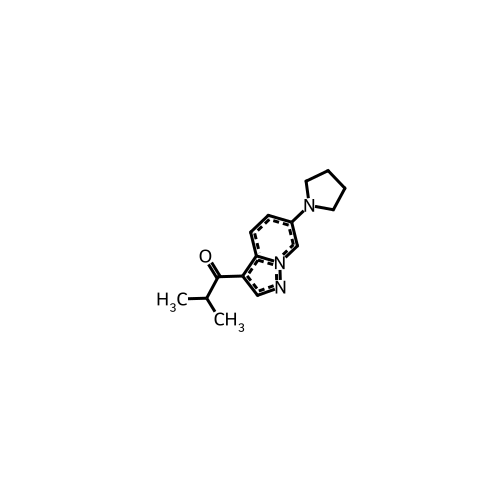 CC(C)C(=O)c1cnn2cc(N3CCCC3)ccc12